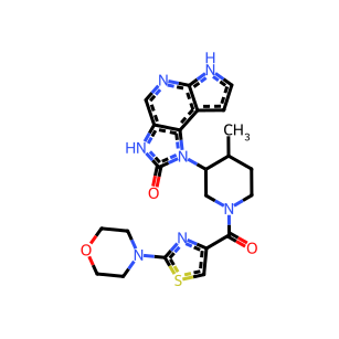 CC1CCN(C(=O)c2csc(N3CCOCC3)n2)CC1n1c(=O)[nH]c2cnc3[nH]ccc3c21